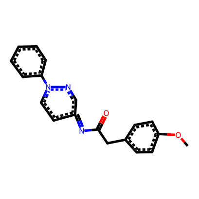 COc1ccc(CC(=O)/N=c2/ccn(-c3ccccc3)nc2)cc1